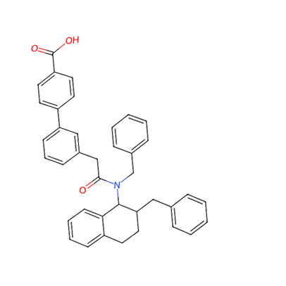 O=C(O)c1ccc(-c2cccc(CC(=O)N(Cc3ccccc3)C3c4ccccc4CCC3Cc3ccccc3)c2)cc1